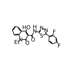 CCn1c(=O)c(C(=O)Nc2nnc(-c3ccc(F)cc3F)s2)c(O)c2ccccc21